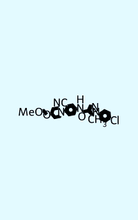 COCOC1CCN(c2ccc(NC(=O)c3cnn(-c4ccc(Cl)cc4)c3C)cc2C#N)CC1